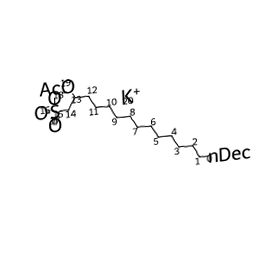 CCCCCCCCCCCCCCCCCCCCCCC(CS(=O)(=O)[O-])OC(C)=O.[K+]